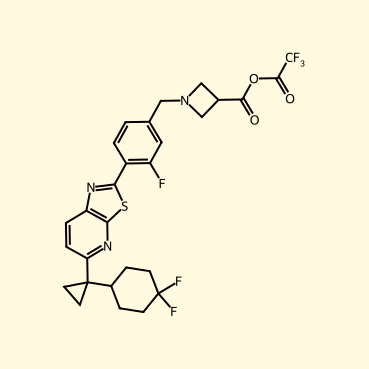 O=C(OC(=O)C(F)(F)F)C1CN(Cc2ccc(-c3nc4ccc(C5(C6CCC(F)(F)CC6)CC5)nc4s3)c(F)c2)C1